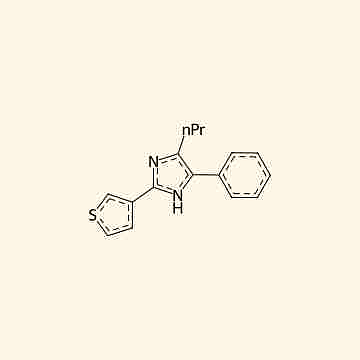 CCCc1nc(-c2ccsc2)[nH]c1-c1ccccc1